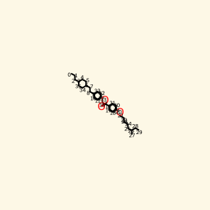 CCCC1CCC(CCc2ccc(OC(=O)c3ccc(OCCCCCC(C)CC)cc3)cc2)CC1